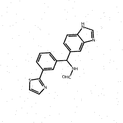 O=CNC(c1cccc(-c2nccs2)c1)c1ccc2[nH]cnc2c1